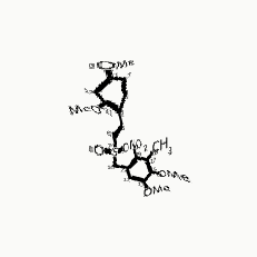 COc1ccc(C=CS(=O)(=O)Cc2cc(OC)c(OC)c(C)c2[N+](=O)[O-])c(OC)c1